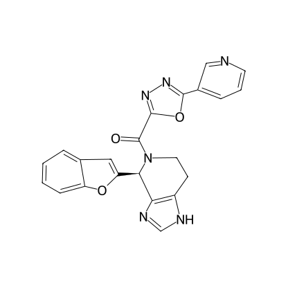 O=C(c1nnc(-c2cccnc2)o1)N1CCc2[nH]cnc2[C@H]1c1cc2ccccc2o1